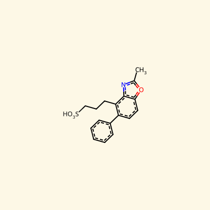 Cc1nc2c(CCCS(=O)(=O)O)c(-c3ccccc3)ccc2o1